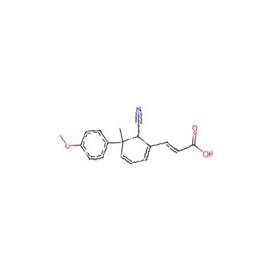 COc1ccc(C2(C)C=CC=C(/C=C/C(=O)O)C2C#N)cc1